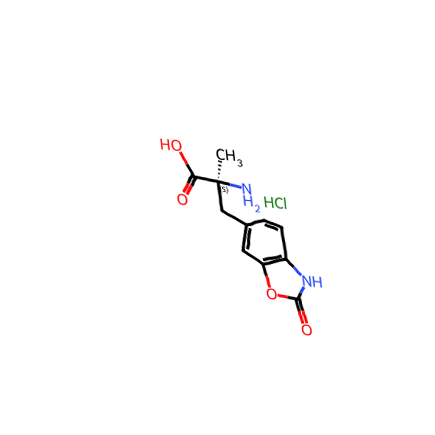 C[C@](N)(Cc1ccc2[nH]c(=O)oc2c1)C(=O)O.Cl